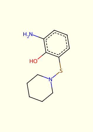 Nc1cccc(SN2CCCCC2)c1O